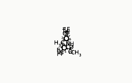 COC(=O)c1cc(C(F)(F)F)ccc1Nc1ccc(OC(F)(F)F)cc1C